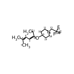 C=C/C(=C\C=C(C)C)OC1CCN(CC(F)(F)F)CC1